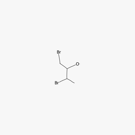 CC(Br)C([O])CBr